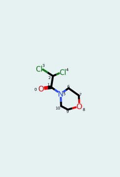 O=C(C(Cl)Cl)N1CCOCC1